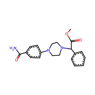 COC(=O)C(c1ccccc1)N1CCN(c2ccc(C(N)=O)cc2)CC1